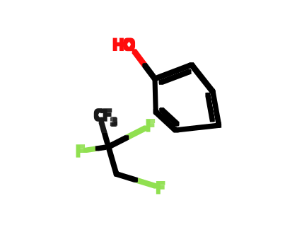 FCC(F)(F)C(F)(F)F.Oc1ccccc1